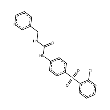 O=C(NCc1cccnc1)Nc1ccc(S(=O)(=O)c2ccccc2Cl)cc1